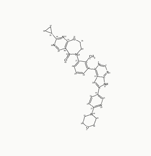 Cc1c(-c2ncnc3[nH]c(-c4ccc(N5CCOCC5)nc4)cc23)cccc1N1CCOc2nc(C3CC3)ncc2C1=O